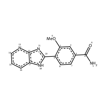 COc1cc(C(N)=O)ccc1-c1nc2ncccc2[nH]1